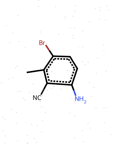 Cc1c(Br)ccc(N)c1C#N